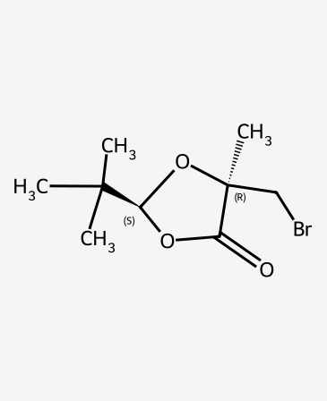 CC(C)(C)[C@@H]1OC(=O)[C@](C)(CBr)O1